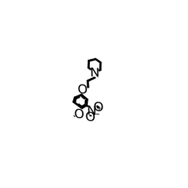 COc1ccc(OCCCN2CCCCC2)cc1[N+](=O)[O-]